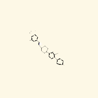 CCCCCOc1ccc(/C=C/C2CCC(c3ccc(-c4ccc(C)cc4)c(F)c3F)CC2)cc1F